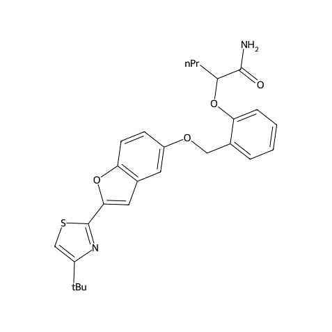 CCCC(Oc1ccccc1COc1ccc2oc(-c3nc(C(C)(C)C)cs3)cc2c1)C(N)=O